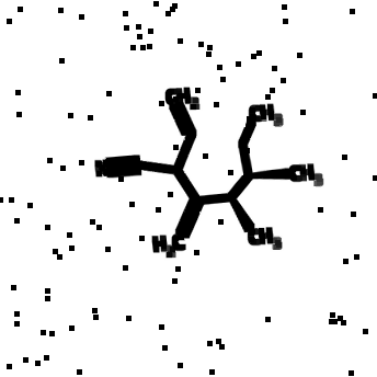 C=CC(C#N)C(=C)[C@H](C)[C@H](C)CC